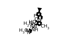 CC1C=C(c2nc(N)nc(Nc3cnn(C)c3)n2)C(CO)=C(n2ccc3cc(C4CC4)cc(F)c3c2=O)C1